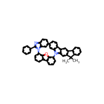 CC1(C)c2ccccc2-c2cc3c4ccccc4n(-c4cccc5c4oc4c(-n6c(-c7ccccc7)nc7ccccc76)cccc45)c3cc21